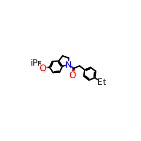 CCc1ccc(CC(=O)N2CCc3cc(OC(C)C)ccc32)cc1